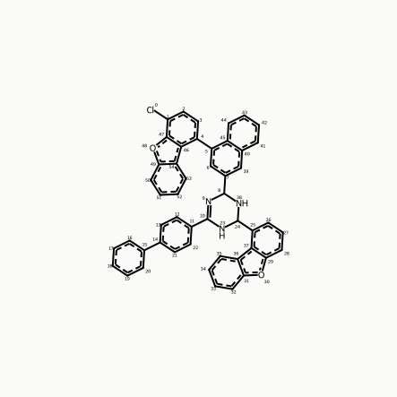 Clc1ccc(-c2cc(C3N=C(c4ccc(-c5ccccc5)cc4)NC(c4cccc5oc6ccccc6c45)N3)cc3ccccc23)c2c1oc1ccccc12